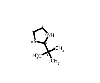 CC(C)(C)C1NCCS1